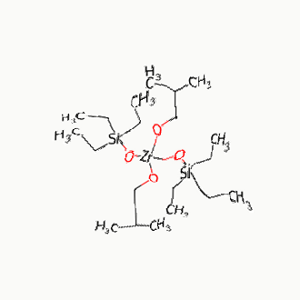 CC[Si](CC)(CC)[O][Zr]([O]CC(C)C)([O]CC(C)C)[O][Si](CC)(CC)CC